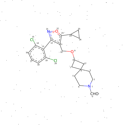 O=[C]N1CCC2(CC1)CC(OCc1c(-c3c(Cl)cccc3Cl)noc1C1CC1)C2